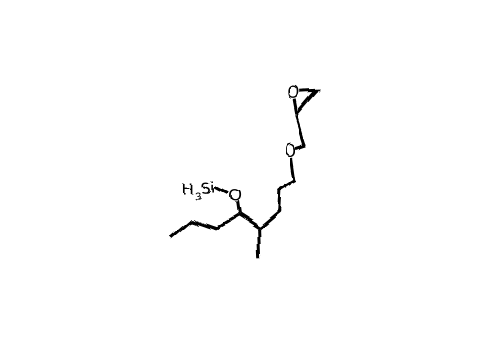 CCCC(O[SiH3])C(C)CCCOCC1CO1